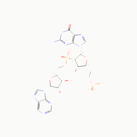 Nc1nc2c(ncn2[C@@H]2O[C@H](CO[PH](=O)O)[C@@H](O)[C@H]2P(=O)(O)OC[C@H]2O[C@@H](n3cnc4cncnc43)[C@H](O)[C@@H]2O)c(=O)[nH]1